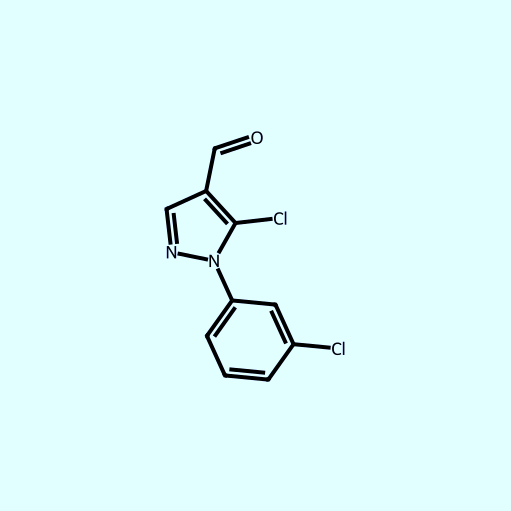 O=Cc1cnn(-c2cccc(Cl)c2)c1Cl